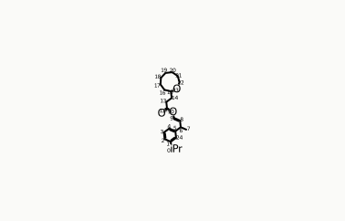 CC(C)c1cccc(C(C)C=COC(=O)CCC2CCCCCCCO2)c1